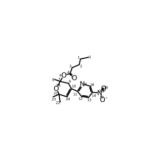 CCCCC(=O)OC1(C)CC(c2ccc([N+](=O)[O-])cn2)=CC(C)(C)O1